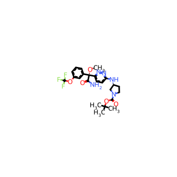 CO[C@](C(N)=O)(c1cccc(OC(F)(F)F)c1)c1ccc(N[C@@H]2CCN(C(=O)OC(C)(C)C)C2)nn1